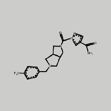 NC(=O)c1cnn(C(=O)N2CC3CN(Cc4ccc(C(F)(F)F)cc4)CC3C2)c1